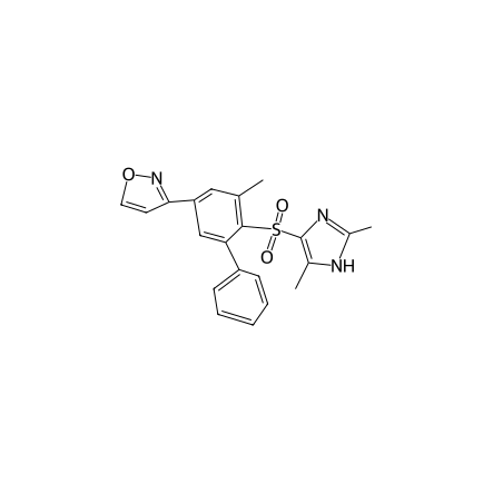 Cc1nc(S(=O)(=O)c2c(C)cc(-c3ccon3)cc2-c2ccccc2)c(C)[nH]1